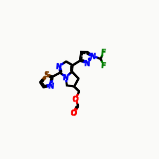 O=COCC1CC2=C(c3ccn(C(F)F)n3)CN=C(c3nccs3)N2C1